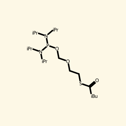 CCC(C)C(=O)SCCOCOP(N(C(C)C)C(C)C)N(C(C)C)C(C)C